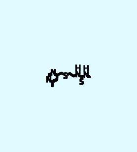 CNC(=S)NCCSCc1cc(C)ncn1